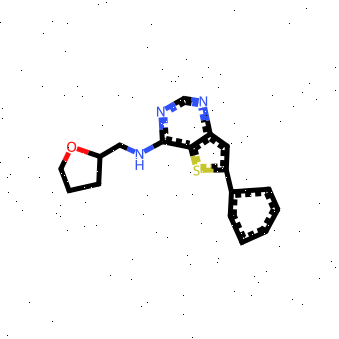 c1ccc(-c2cc3ncnc(NCC4CCCO4)c3s2)cc1